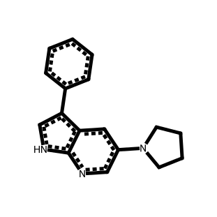 c1ccc(-c2c[nH]c3ncc(N4CCCC4)cc23)cc1